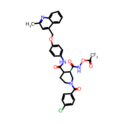 Cc1cc(COc2ccc(NC(=O)C3CCN(C(=O)c4ccc(Cl)cc4)C[C@@H]3C(=O)NOC(=O)C(F)(F)F)cc2)c2ccccc2n1